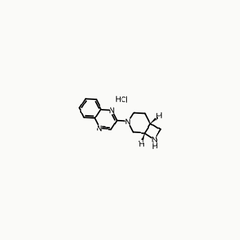 Cl.c1ccc2nc(N3CC[C@@H]4CN[C@@H]4C3)cnc2c1